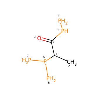 CC(C(=O)PP)P(P)P